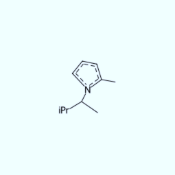 Cc1cccn1C(C)C(C)C